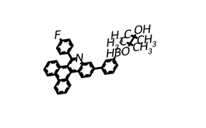 CC(C)(O)C(C)(C)OBc1cccc(-c2ccc3c(c2)nc(-c2ccc(F)cc2)c2c4ccccc4c4ccccc4c32)c1